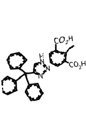 Cc1c(C(=O)O)cccc1C(=O)O.c1ccc(C(c2ccccc2)(c2ccccc2)c2c[nH]nn2)cc1